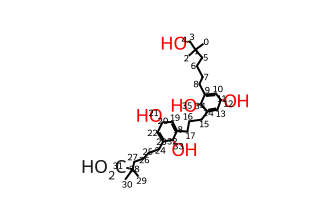 CC(C)(CO)CCCCC1=CC(O)C=C(CCCC2=CC(O)C=C(CCCCC(C)(C)C(=O)O)C2O)C1O